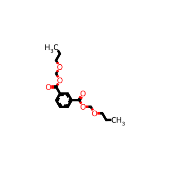 CCCOCOC(=O)c1cccc(C(=O)OCOCCC)c1